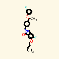 CCCCOc1cc2c(cc1F)CN(CC1CCC(C(C)Oc3cccc(F)c3)CC1)C2=O